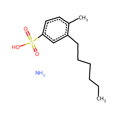 CCCCCCc1cc(S(=O)(=O)O)ccc1C.N